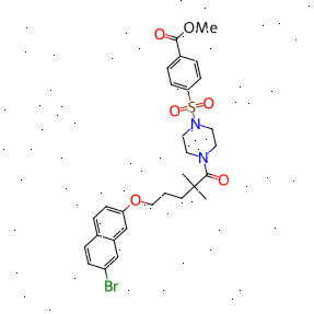 COC(=O)c1ccc(S(=O)(=O)N2CCN(C(=O)C(C)(C)CCCOc3ccc4ccc(Br)cc4c3)CC2)cc1